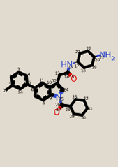 Cc1cccc(-c2ccc3c(c2)c(CC(=O)N[C@H]2CC[C@H](N)CC2)cn3C(=O)C2CCCCC2)c1